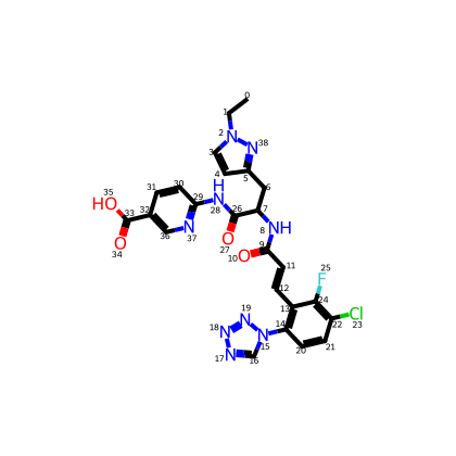 CCn1ccc(CC(NC(=O)C=Cc2c(-n3cnnn3)ccc(Cl)c2F)C(=O)Nc2ccc(C(=O)O)cn2)n1